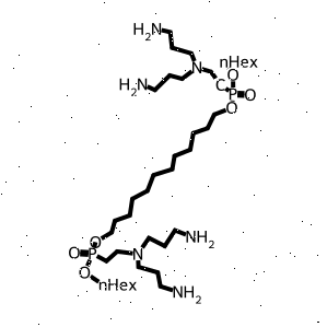 CCCCCCOP(=O)(CCN(CCCN)CCCN)OCCCCCCCCCCCCOP(=O)(CCN(CCCN)CCCN)OCCCCCC